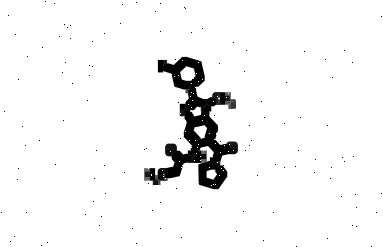 C=CC(=O)Nc1cc2nc(N3CCCC(F)C3)n(C)c2cc1C(=O)N1CCCC1